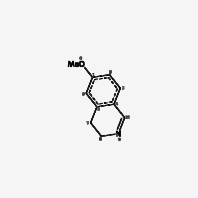 COc1ccc2c(c1)CCN=C2